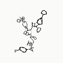 CC1(NCCS(=O)(=O)C[C@@H](NC(=O)c2ccc(-c3ccccc3)cc2)C(=O)N2CCN(S(C)(=O)=O)CC2)C[C@H]1c1ccc(F)cc1